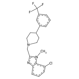 Cn1c(CN2CCC(c3cccc(C(F)(F)F)c3)CC2)nc2cccc(Cl)c21